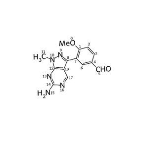 COc1ccc(C=O)cc1-c1nn(C)c2nc(N)ncc12